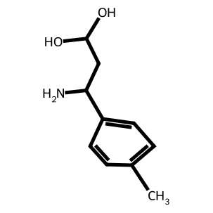 Cc1ccc(C(N)CC(O)O)cc1